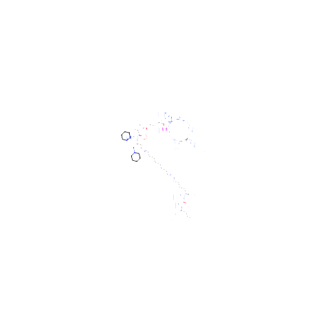 CC1(CN)CNCCNCC(CN)(NC(=O)CCCC(=O)NC(Cc2ccccc2)C(=O)NC(Cc2ccccc2)C(=O)NCCCCCCCC(=O)NCCCCC(NC(=O)NC(CCC(=O)O)C(=O)O)C(=O)O)CNCCNC1